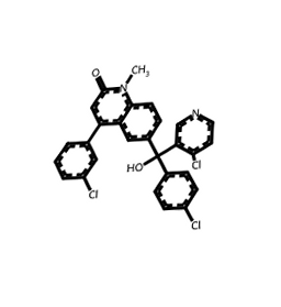 Cn1c(=O)cc(-c2cccc(Cl)c2)c2cc(C(O)(c3ccc(Cl)cc3)c3cnccc3Cl)ccc21